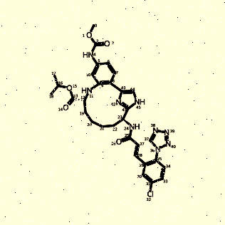 COC(=O)Nc1ccc2c(c1)N[C@@H](C(=O)OC(C)C)CCCC[C@H](NC(=O)/C=C/c1cc(Cl)ccc1-n1cnnn1)c1nc-2c[nH]1